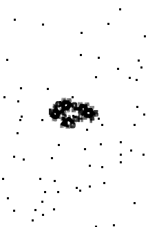 O=C(O)CC1(CSC2c3cc(OCc4ccc5cc(F)c(F)cc5n4)ccc3OCc3ncccc32)CC1